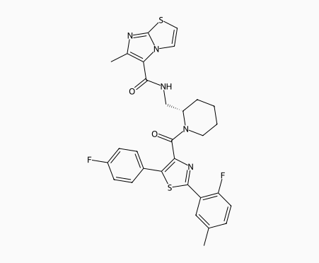 Cc1ccc(F)c(-c2nc(C(=O)N3CCCC[C@H]3CNC(=O)c3c(C)nc4sccn34)c(-c3ccc(F)cc3)s2)c1